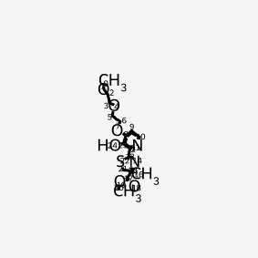 COCCOCCOc1ccnc(C2=N[C@@](C)(C(=O)OC)CS2)c1O